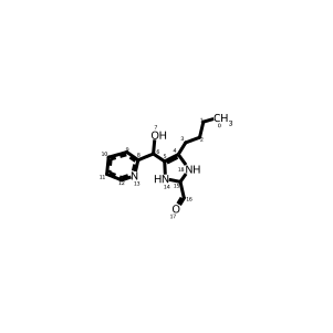 CCCCC1=C(C(O)c2ccccn2)NC(C=O)N1